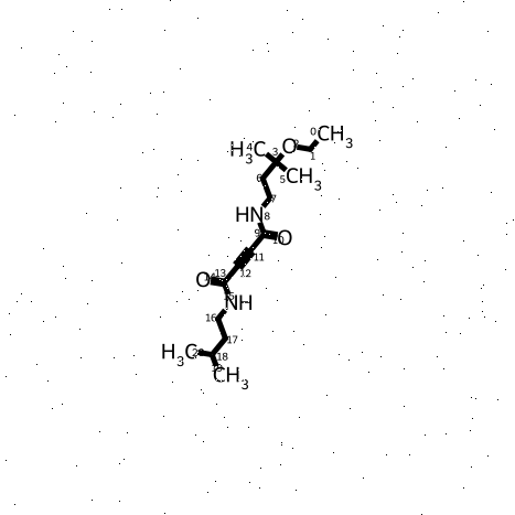 CCOC(C)(C)CCNC(=O)C#CC(=O)NCCC(C)C